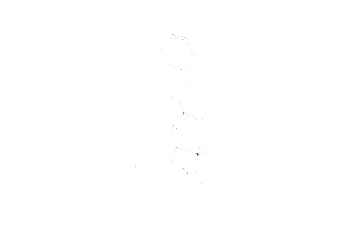 CCOC(=O)[C@@H]1[C@H](NC(=O)OCc2ccccc2)C(=O)N1OC(C)=O